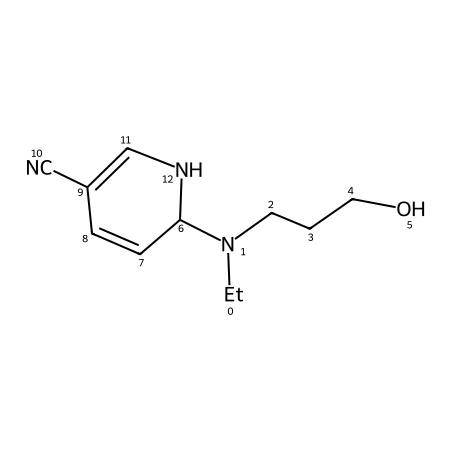 CCN(CCCO)C1C=CC(C#N)=CN1